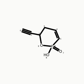 C#CC1CC=CP(=O)(O)O1